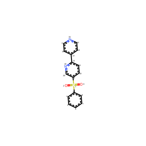 O=S(=O)(c1ccccc1)c1ccc(-c2ccncc2)nc1